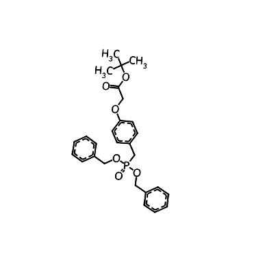 CC(C)(C)OC(=O)COc1ccc(CP(=O)(OCc2ccccc2)OCc2ccccc2)cc1